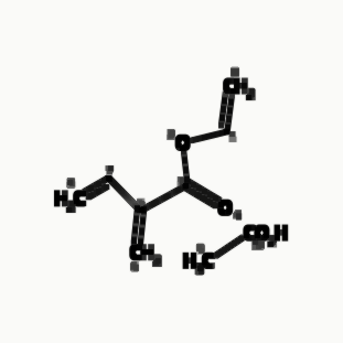 C=COC(=O)C(=C)C=C.CC(=O)O